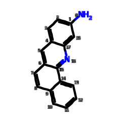 Nc1ccc2cc3ccc4ccccc4c3nc2c1